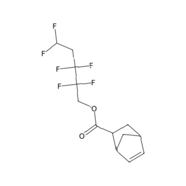 O=C(OCC(F)(F)C(F)(F)CC(F)F)C1CC2C=CC1C2